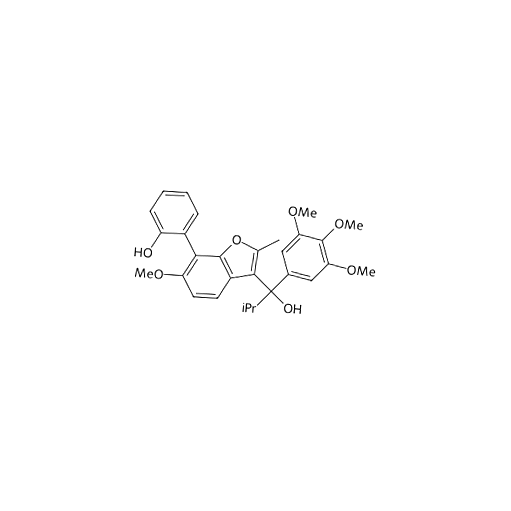 COc1cc(C(O)(c2c(C)oc3c(-c4ccccc4O)c(OC)ccc23)C(C)C)cc(OC)c1OC